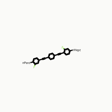 CCCCCCCc1ccc(C#Cc2ccc(C#Cc3ccc(CCCCC)c(F)c3)cc2)c(F)c1